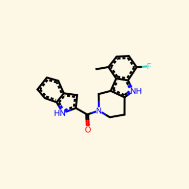 Cc1ccc(F)c2[nH]c3c(c12)CN(C(=O)c1cc2ccccc2[nH]1)CC3